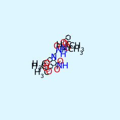 COc1cc(C2=C(c3cn(CCCNC(=O)C(COCc4ccccc4)NC(=O)OC(C)(C)C)c4ccccc34)C(=O)NC2=O)cc(OC)c1OC